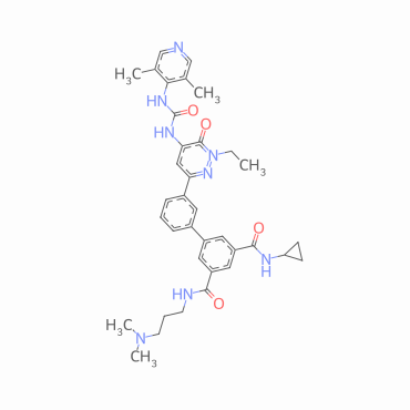 CCn1nc(-c2cccc(-c3cc(C(=O)NCCCN(C)C)cc(C(=O)NC4CC4)c3)c2)cc(NC(=O)Nc2c(C)cncc2C)c1=O